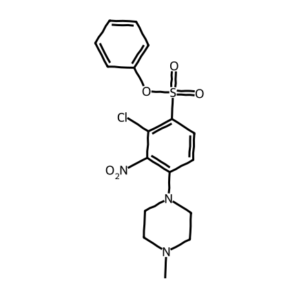 CN1CCN(c2ccc(S(=O)(=O)Oc3ccccc3)c(Cl)c2[N+](=O)[O-])CC1